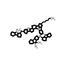 C=C(c1ccc2c(c1)oc1c2ccc2c1ccc1c3cc(CCCCCC)cc4c5ccc(N(c6ccc7c(c6)C(C)(C)c6ccccc6-7)c6cccc7c6sc6ccccc67)cc5n(c21)c43)c1cccc2c1sc1ccccc12